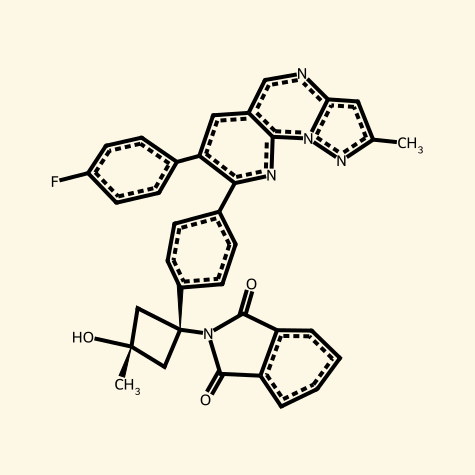 Cc1cc2ncc3cc(-c4ccc(F)cc4)c(-c4ccc([C@]5(N6C(=O)c7ccccc7C6=O)C[C@@](C)(O)C5)cc4)nc3n2n1